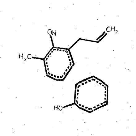 C=CCc1cccc(C)c1O.Oc1ccccc1